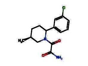 C[C@H]1CCC(c2cccc(Cl)c2)N(C(=O)C(N)=O)C1